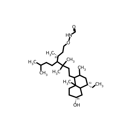 CC[C@H]1CC(C)C(CCC(C)(C)C(CCC(C)C)[C@H](C)CCONC=O)C2(C)CC[C@@H](O)CC12